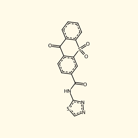 O=C(Nc1nncs1)c1ccc2c(c1)S(=O)(=O)c1ccccc1C2=O